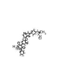 CN(CCCl)Cc1ccc(-c2cc3nccc(Oc4ccc(C(C(N)=O)C(=O)Nc5ccccc5)cc4F)c3s2)cc1